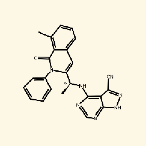 Cc1cccc2cc([C@H](C)Nc3ncnc4[nH]nc(C#N)c34)n(-c3ccccc3)c(=O)c12